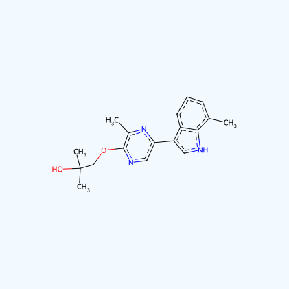 Cc1nc(-c2c[nH]c3c(C)cccc23)cnc1OCC(C)(C)O